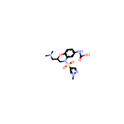 CN(C)CC1CN(S(=O)(=O)c2cnn(C)c2)c2cc(NC(=O)O)ccc2O1